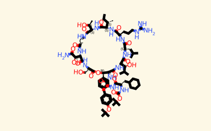 CC[C@H](C)[C@@H]1NC(=O)[C@@H](CCCNC(=N)N)NC(=O)[C@H](CC(C)C)NC(=O)[C@H]([C@H](O)C(C)C)NC(=O)[C@@H](NC(=O)[C@H](Cc2ccc(OC(C)(C)C)cc2)NC(=O)[C@H](CC2CCCCC2)NC(=O)OC(C)(C)C)[C@@H](c2ccccc2)OC(=O)[C@H](CO)NC(=O)[C@H]([C@H](O)C(N)=O)NC(=O)CNC(=O)[C@H]([C@H](C)O)NC1=O